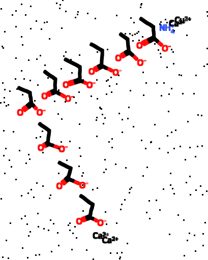 CCC(=O)[O-].CCC(=O)[O-].CCC(=O)[O-].CCC(=O)[O-].CCC(=O)[O-].CCC(=O)[O-].CCC(=O)[O-].CCC(=O)[O-].CCC(=O)[O-].[Ca+2].[Ca+2].[Ca+2].[Cu+2].[NH4+]